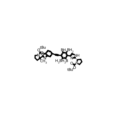 Bc1c(B)c(-c2c[nH]c([C@@H]3CCCN3C(=O)OC(C)(C)C)n2)c(B)c(B)c1C#Cc1ccc2[nH]c(C3(C)CCCN3C(=O)OC(C)(C)C)nc2c1